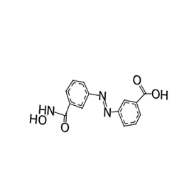 O=C(O)c1cccc(N=Nc2cccc(C(=O)NO)c2)c1